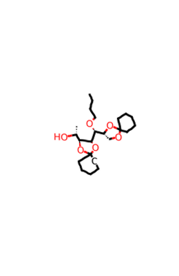 CCCCO[C@@H]([C@@H]1OC2(CCCCC2)O[C@H]1[C@@H](C)O)[C@H]1COC2(CCCCC2)O1